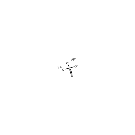 O=P([O-])([O-])[O-].[Al+3].[Ti+4]